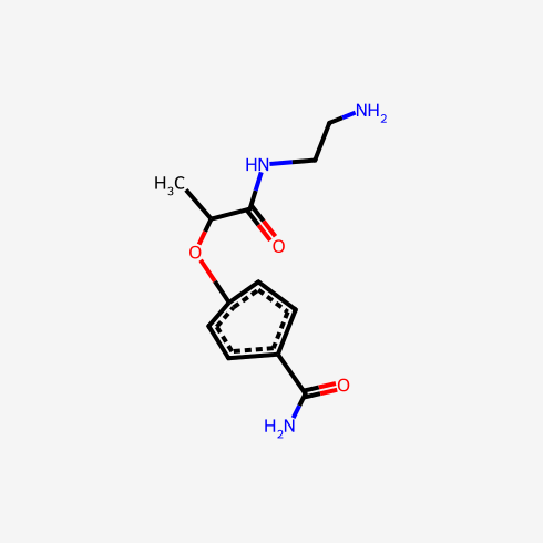 CC(Oc1ccc(C(N)=O)cc1)C(=O)NCCN